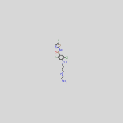 NCCNCCCCNc1cc(F)c([S+]([O-])Nc2ncc(F)s2)cc1Cl